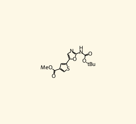 COC(=O)c1csc(-c2cnc(NC(=O)OC(C)(C)C)o2)c1